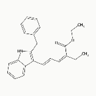 CCOC(=O)C(=CC=Cc1c(Cc2ccccc2)[nH]c2ccccc12)CC